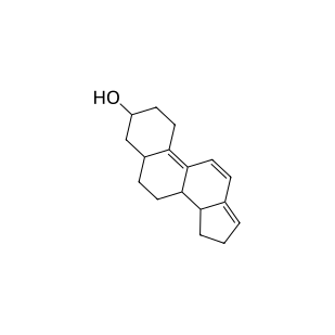 OC1CCC2=C3C=CC4=CCCC4C3CCC2C1